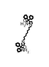 NC(=O)C(c1ccccc1)(c1ccccc1)C1CCN(CCCCCCCCCCN2CCC(C(C(N)=O)(c3ccccc3)c3ccccc3)C2)C1